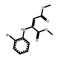 COC(=O)C=C(Nc1ccccc1Br)C(=O)OC